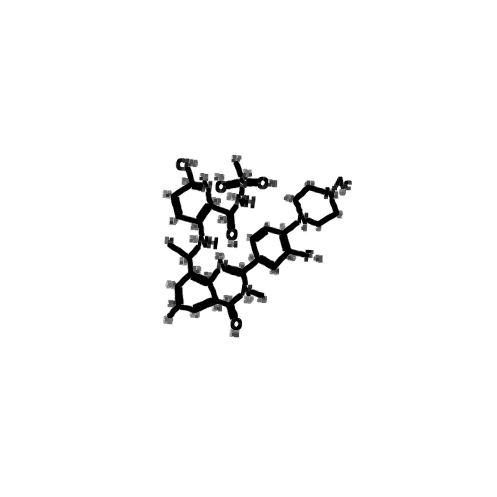 CC(=O)N1CCN(c2ccc(-c3nc4c(C(C)Nc5ccc(Cl)nc5C(=O)NS(C)(=O)=O)cc(C)cc4c(=O)n3C)cc2F)CC1